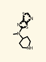 CN(c1nc2scnc2s1)C1CCNCC1